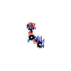 CN1CC(COc2cc(F)cc(NC(=O)Nc3cccnc3)c2)N(C)S1(=O)=O